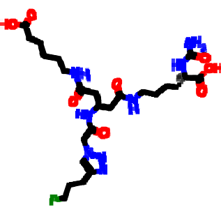 NC(=O)N[C@@H](CCCCNC(=O)CC(CC(=O)NCCCCCC(=O)O)NC(=O)Cn1cc(CCCF)nn1)C(=O)O